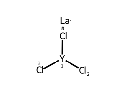 [Cl][Y]([Cl])[Cl].[La]